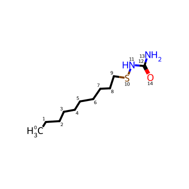 CCCCCCCCCCSNC(N)=O